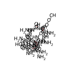 C#CCOCCOCCOCCOCCNC(=O)CN(CC(=O)N[C@@H](CC(C)C)C(=O)N[C@@H](CCN)C(N)=O)CC(=O)N[C@@H](CC(C)C)C(=O)N[C@@H](CCN)C(=O)N[C@H](C(=O)N[C@@H](CCN)C(=O)N[C@H]1CCNC(=O)[C@H](CC)NC(=O)[C@H](CCN)NC(=O)[C@H](CCN)NC(=O)[C@H](CC(C)C)NC(=O)[C@@H](Cc2ccccc2)NC(=O)[C@H](CCN)NC1=O)[C@@H](C)O